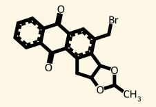 CC1OC2Cc3c4c(cc(CBr)c3C2O1)C(=O)c1ccccc1C4=O